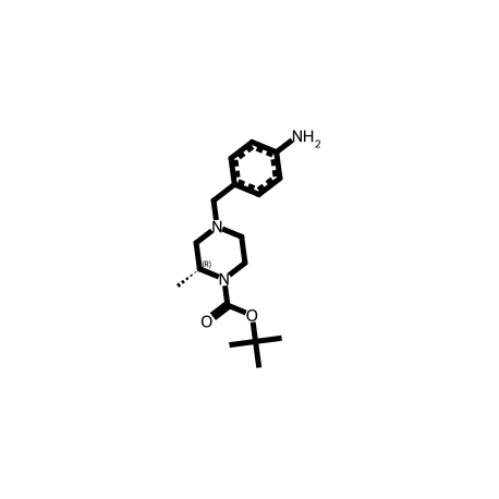 C[C@@H]1CN(Cc2ccc(N)cc2)CCN1C(=O)OC(C)(C)C